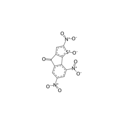 O=C1c2cc([N+](=O)[O-])cc([N+](=O)[O-])c2-c2c1cc([N+](=O)[O-])[s+]2[O-]